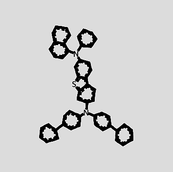 c1ccc(-c2ccc(N(c3ccc(-c4ccccc4)cc3)c3ccc4c(c3)sc3cc(N(c5ccccc5)c5cccc6ccccc56)ccc34)cc2)cc1